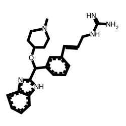 CN1CCC(OC(c2cccc(C=CCNC(=N)N)c2)c2nc3ccccc3[nH]2)CC1